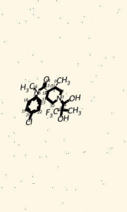 C[C@@H]1CN(C(O)[C@@](C)(O)C(F)(F)F)CC[C@@H]1C(=O)N(C)c1ccc(Cl)cc1